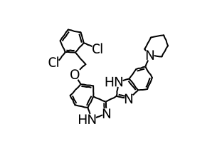 Clc1cccc(Cl)c1COc1ccc2[nH]nc(-c3nc4ccc(N5CCCCC5)cc4[nH]3)c2c1